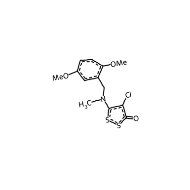 COc1ccc(OC)c(CN(C)c2ssc(=O)c2Cl)c1